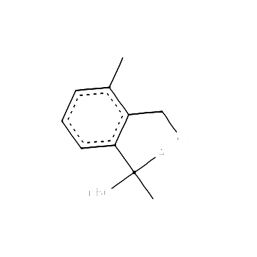 CCCCC(C)(C(C)=O)c1cccc(C)c1CO